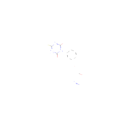 CC(C)/C=N/OC(=O)C(C)Oc1cc(-n2c(=O)n(C)c(=S)n(C)c2=O)c(F)cc1Cl